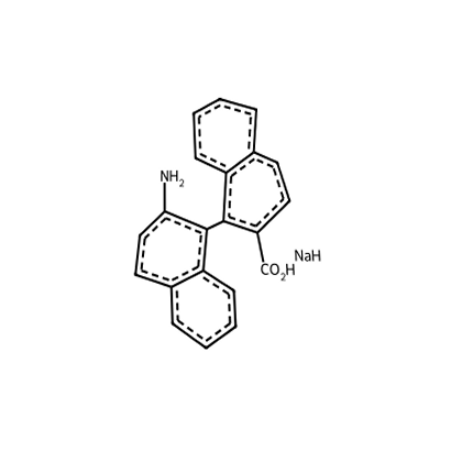 Nc1ccc2ccccc2c1-c1c(C(=O)O)ccc2ccccc12.[NaH]